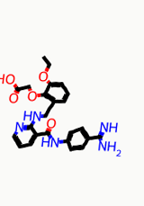 CCOc1cccc(CNc2ncccc2C(=O)Nc2ccc(C(=N)N)cc2)c1OCC(=O)O